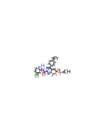 C#CCOc1ccc2nc(C(=O)Nc3cccc(Cl)c3)nc(-c3ccc(C(C)C)cc3)c2c1